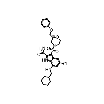 NC(=O)c1[nH]c2c(NCC3CCCCC3)cc(Cl)cc2c1S(=O)(=O)N1CCO[C@H](COc2ccccc2)C1